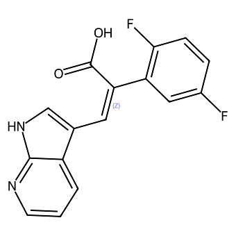 O=C(O)/C(=C\c1c[nH]c2ncccc12)c1cc(F)ccc1F